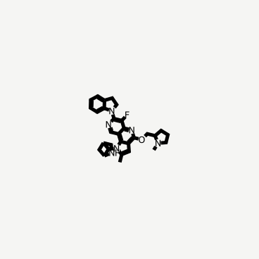 Cc1cc2c(OCC3CCCN3C)nc3c(F)c(N4CCc5ccccc54)ncc3c2n1C1C2CNC1C2